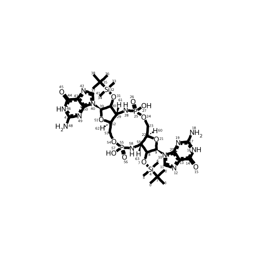 CC(C)(C)[Si](C)(C)OC1[C@H](n2cnc3c(=O)[nH]c(N)nc32)O[C@@H]2COP(=O)(O)N[C@H]3C(O[Si](C)(C)C(C)(C)C)[C@H](n4cnc5c(=O)[nH]c(N)nc54)O[C@@H]3COP(=O)(O)N[C@@H]12